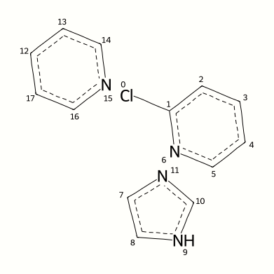 Clc1ccccn1.c1c[nH]cn1.c1ccncc1